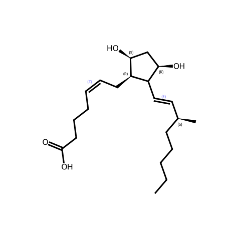 CCCCC[C@H](C)/C=C/C1[C@H](O)C[C@H](O)[C@@H]1C/C=C\CCCC(=O)O